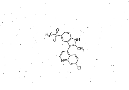 Cc1[nH]c2ccc(S(C)(=O)=O)cc2c1-c1ccnc2cc(Cl)ccc12